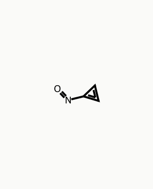 O=NC1=C=C1